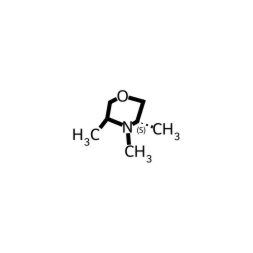 CC1COC[C@H](C)N1C